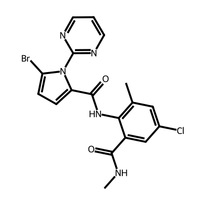 CNC(=O)c1cc(Cl)cc(C)c1NC(=O)c1ccc(Br)n1-c1ncccn1